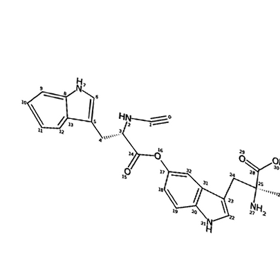 C#CN[C@@H](Cc1c[nH]c2ccccc12)C(=O)Oc1ccc2[nH]cc(C[C@](C)(N)C(=O)O)c2c1